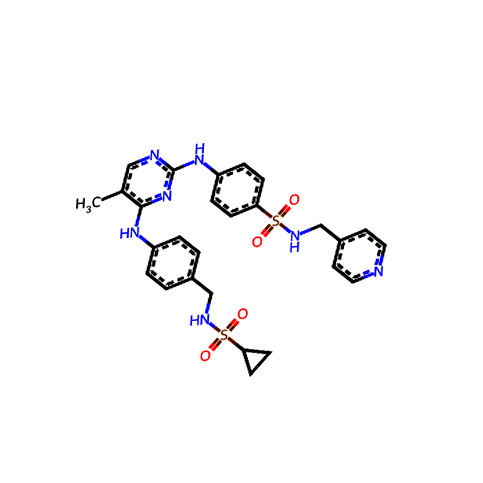 Cc1cnc(Nc2ccc(S(=O)(=O)NCc3ccncc3)cc2)nc1Nc1ccc(CNS(=O)(=O)C2CC2)cc1